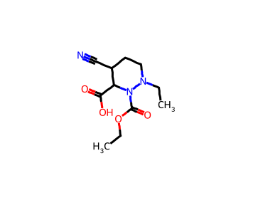 CCOC(=O)N1C(C(=O)O)C(C#N)CCN1CC